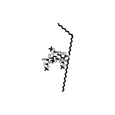 CCCCCCCC/C=C\CCCCCCCCN(CCCCCCCCCCCCCCCC)C(=O)C(NC(=O)OC(C)(C)C)C(NC(=O)OC(C)(C)C)C(=O)[C@H](CCCNC(=N)NC(=O)OC(C)(C)C)NC(=O)OC(C)(C)C